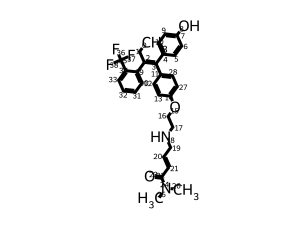 CC/C(=C(\c1ccc(O)cc1)c1ccc(OCCNC/C=C/C(=O)N(C)C)cc1)c1ccccc1C(F)(F)F